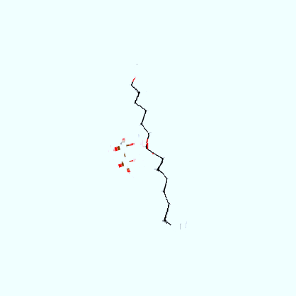 CCCCCCCCCCCCCCO.O=S(=O)(O)S(=O)(=O)O